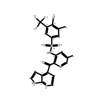 Cc1cnc(C(=O)c2ccnc3[nH]ccc23)c(NS(=O)(=O)c2cc(C)c(Cl)c(C(F)(F)F)c2)c1